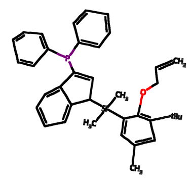 C=CCOc1c(C(C)(C)C)cc(C)cc1[Si](C)(C)C1C=C(P(c2ccccc2)c2ccccc2)c2ccccc21